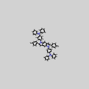 Cc1ccc(-c2cc3cc4c(cc(-c5ccc(C)cc5)n4-c4ccc(N(c5ccccc5)c5ccccc5)cc4)cc3n2-c2ccc(N(c3ccccc3)c3ccccc3)cc2)cc1